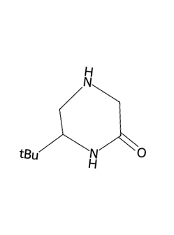 CC(C)(C)C1CNCC(=O)N1